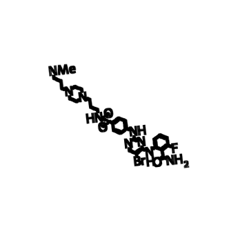 CNCCCN1CCN(CCCNS(=O)(=O)c2ccc(Nc3ncc(Br)c(Nc4cccc(F)c4C(N)=O)n3)cc2)CC1